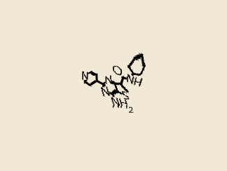 Nc1nc(-c2ccncc2)nc2c(C(=O)NC3CCCCC3)csc12